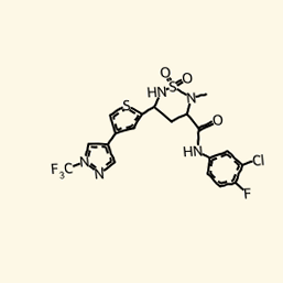 CN1C(C(=O)Nc2ccc(F)c(Cl)c2)CC(c2cc(-c3cnn(C(F)(F)F)c3)cs2)NS1(=O)=O